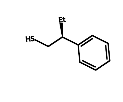 CC[C@H](CS)c1ccccc1